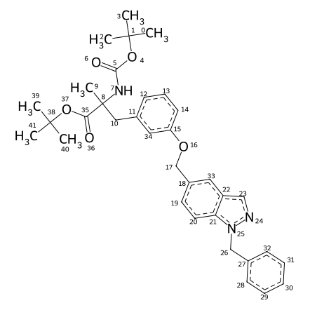 CC(C)(C)OC(=O)NC(C)(Cc1cccc(OCc2ccc3c(cnn3Cc3ccccc3)c2)c1)C(=O)OC(C)(C)C